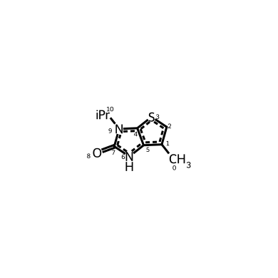 Cc1csc2c1[nH]c(=O)n2C(C)C